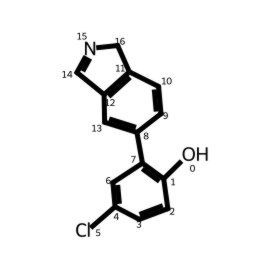 Oc1ccc(Cl)cc1-c1ccc2c(c1)C=NC2